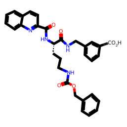 O=C(NCCC[C@H](NC(=O)c1ccc2ccccc2n1)C(=O)NCc1cccc(C(=O)O)c1)OCc1ccccc1